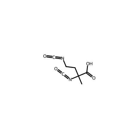 CC(CCN=C=O)(N=C=O)C(=O)O